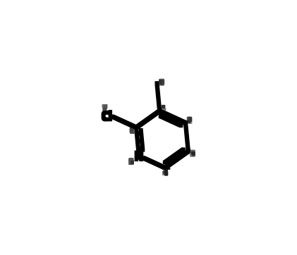 Cc1cc[c]nc1Cl